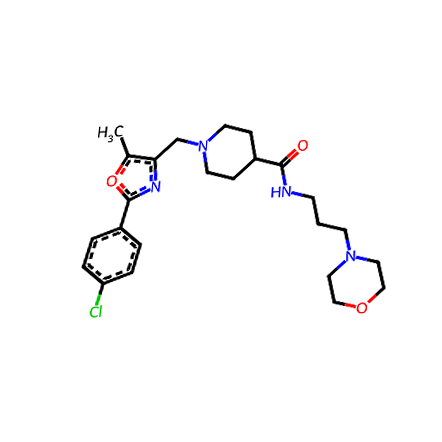 Cc1oc(-c2ccc(Cl)cc2)nc1CN1CCC(C(=O)NCCCN2CCOCC2)CC1